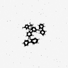 Fc1ccc(C(F)(F)F)c(-n2c3ccc(-n4c5ccccc5c5ccccc54)cc3c3cc(-n4c5ccccc5c5ccccc54)ccc32)c1